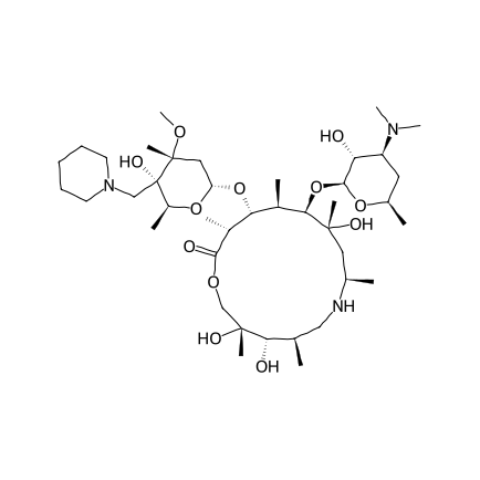 CO[C@]1(C)C[C@H](O[C@@H]2[C@@H](C)[C@@H](O[C@@H]3O[C@H](C)C[C@H](N(C)C)[C@H]3O)[C@](C)(O)C[C@@H](C)NC[C@@H](C)[C@H](O)[C@](C)(O)COC(=O)[C@@H]2C)O[C@@H](C)[C@@]1(O)CN1CCCCC1